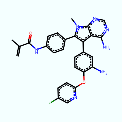 C=C(C)C(=O)Nc1ccc(-c2c(-c3ccc(Oc4ccc(F)cn4)c(N)c3)c3c(N)ncnc3n2C)cc1